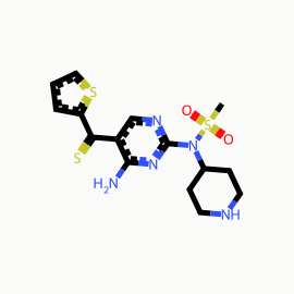 CS(=O)(=O)N(c1ncc(C(=S)c2cccs2)c(N)n1)C1CCNCC1